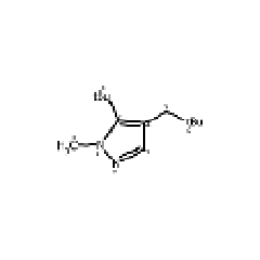 Cn1ncc(CC(C)(C)C)c1C(C)(C)C